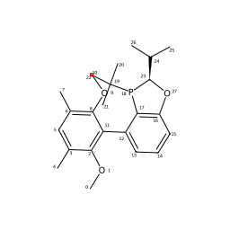 COc1c(C)cc(C)c(OC)c1-c1cccc2c1P(C(C)(C)C)[C@@H](C(C)C)O2